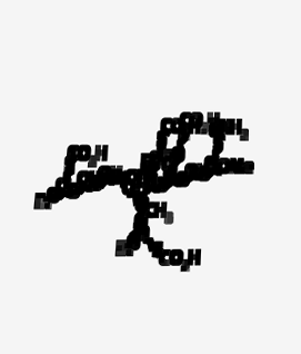 CCOCC(COCC(O)COCC(O)COC(CO)COCC(COC(C)COCC(COCC)OCCCSCC(=O)O)OCC(COCC(COCC(O)COCC(COC)OCCCSCC(N)=O)OCC(COCCCSCC(=O)O)OCC)OCC(COCCCSCC(=O)O)OCC)OCCCSCC(=O)O